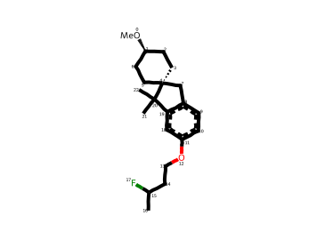 CO[C@H]1CC[C@]2(CC1)Cc1ccc(OCCC(C)F)cc1C2(C)C